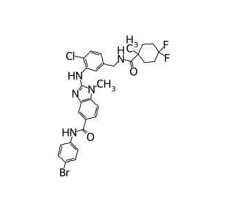 Cn1c(Nc2cc(CNC(=O)C3(C)CCC(F)(F)CC3)ccc2Cl)nc2cc(C(=O)Nc3ccc(Br)cc3)ccc21